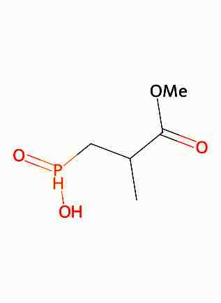 COC(=O)C(C)C[PH](=O)O